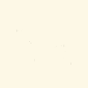 COc1c(C(=O)O)ccc(F)c1-c1ccc(C(C)C)nc1